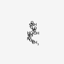 COc1ccc2ncc(F)c(CNC[C@@H](O)[C@H](O)[C@H]3CN(c4ccc5c(c4)NC(=O)CS5)C(=O)O3)c2c1